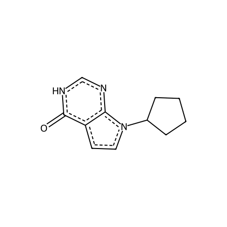 O=c1[nH]cnc2c1ccn2C1CCCC1